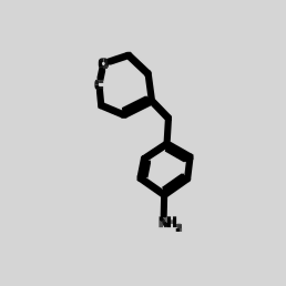 Nc1ccc(CC2=CCCOCC2)cc1